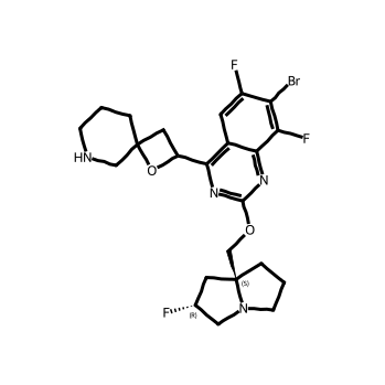 Fc1cc2c(C3CC4(CCCNC4)O3)nc(OC[C@@]34CCCN3C[C@H](F)C4)nc2c(F)c1Br